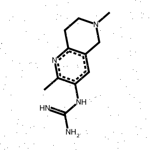 Cc1nc2c(cc1NC(=N)N)CN(C)CC2